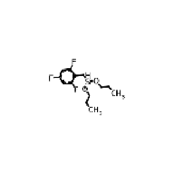 CCCO[SiH](Cc1c(F)cc(F)cc1F)OCCC